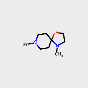 CC(C)N1CCC2(CC1)OCCN2C